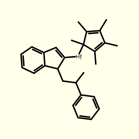 CC1=C(C)[C](C)([Hf][C]2=Cc3ccccc3C2CC(C)c2ccccc2)C(C)=C1C